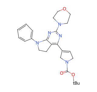 CC(C)(C)OC(=O)N1CC=C(c2nc(N3CCOCC3)nc3c2CCN3c2ccccc2)C1